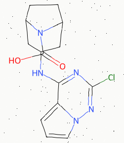 O=C(O)N1C2CCC1CC(Nc1nc(Cl)nn3cccc13)C2